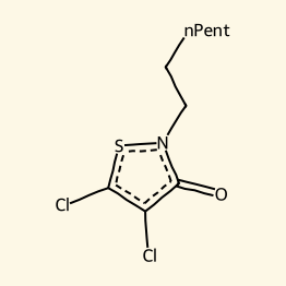 CCCCCCCn1sc(Cl)c(Cl)c1=O